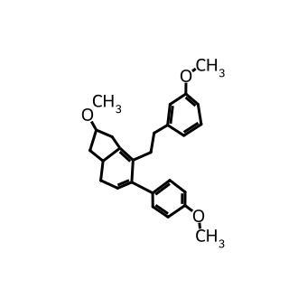 COc1ccc(C2=CCC3CC(OC)CC3=C2CCc2cccc(OC)c2)cc1